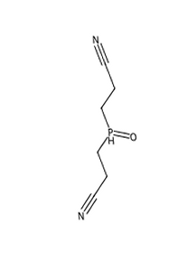 N#CCC[PH](=O)CCC#N